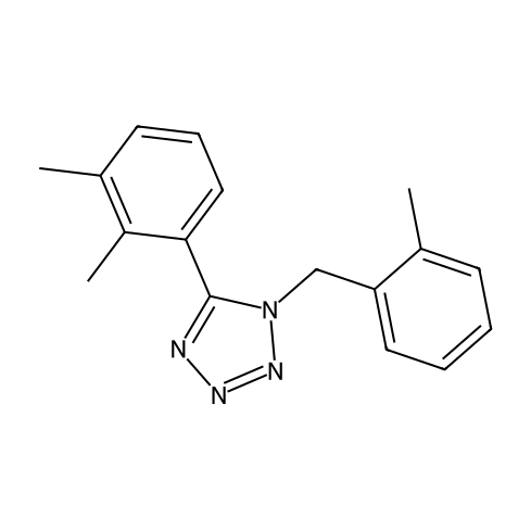 Cc1ccccc1Cn1nnnc1-c1cccc(C)c1C